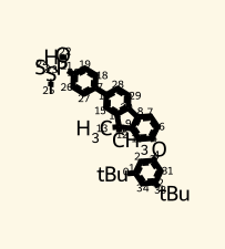 CC(C)(C)c1cc(Oc2ccc3c(c2)C(C)(C)c2cc(-c4ccc(P(=O)=[SH](=S)I)cc4)ccc2-3)cc(C(C)(C)C)c1